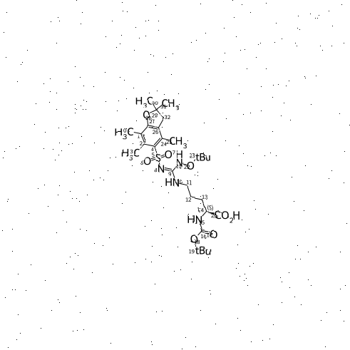 Cc1c(C)c(S(=O)(=O)N=C(NCCC[C@H](NC(=O)OC(C)(C)C)C(=O)O)NOC(C)(C)C)c(C)c2c1OC(C)(C)C2